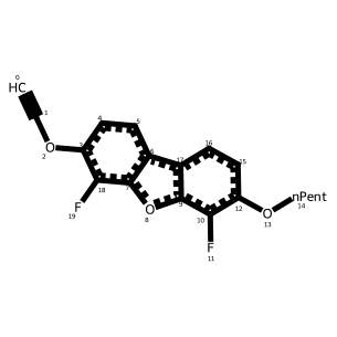 C#COc1ccc2c(oc3c(F)c(OCCCCC)ccc32)c1F